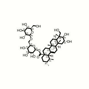 C[C@H]1[C@H](C)CC[C@]2(C(=O)O[C@@H]3O[C@H](CO[C@@H]4O[C@H](CO)[C@@H](O)[C@H](O)[C@H]4O)[C@@H](O)[C@H](O)[C@H]3O)CC[C@]3(C)C(=CC[C@@H]4[C@@]5(C)C[C@@H](O)[C@H](O)[C@@](C)(CO)[C@@H]5CC[C@]43C)[C@H]12